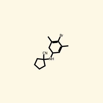 CC1=CC(NC2(C#N)CCCC2)CC(C)=C1Br